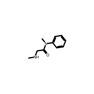 CNCC(=O)N(C)c1ccccc1